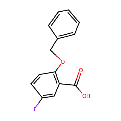 O=C(O)c1cc(I)ccc1OCc1ccccc1